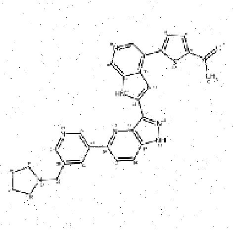 CC(=O)c1ccc(-c2cncc3[nH]c(-c4n[nH]c5ccc(-c6cncc(CN7CCCC7)c6)nc45)nc23)s1